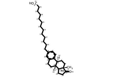 C[C@]12CC[C@@H]3c4ccc(CCCCCCCCCCCCC(=O)O)cc4CC[C@H]3[C@@H]1CCC2=O